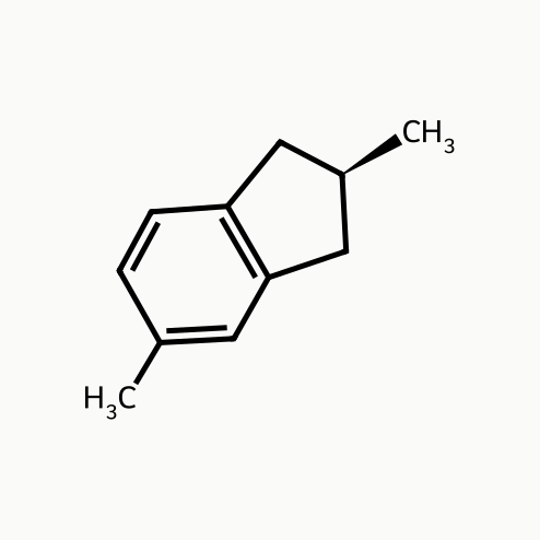 Cc1ccc2c(c1)C[C@H](C)C2